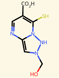 O=C(O)C1=C(S)N2NN(CO)C=C2N=C1